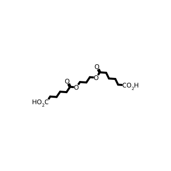 O=C(O)CCCCC(=O)OCCCOC(=O)CCCCC(=O)O